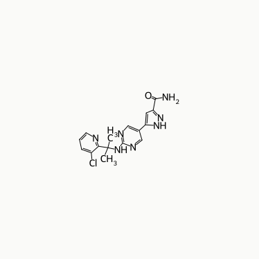 CC(C)(Nc1ncc(-c2cc(C(N)=O)n[nH]2)cn1)c1ncccc1Cl